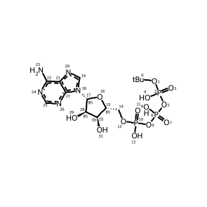 CC(C)(C)OP(=O)(O)OP(=O)(O)OP(=O)(O)OC[C@H]1O[C@@H](n2cnc3c(N)ncnc32)[C@H](O)[C@@H]1O